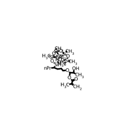 C=C(C)C(=O)OC(OCCCC(CCC)[SiH](C)O[Si](C)(C)O[Si](C)(C)O[Si](C)(C)O[Si](C)(C)C)C(C)O